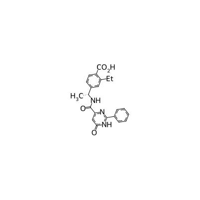 CCc1cc([C@@H](C)NC(=O)c2cc(=O)[nH]c(-c3ccccc3)n2)ccc1C(=O)O